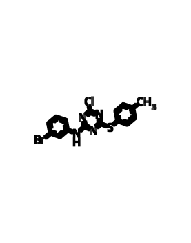 Cc1ccc(Sc2nc(Cl)nc(Nc3cccc(Br)c3)n2)cc1